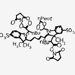 CCCCCC1OCC(N2\C(=C/C=C/C=C/C3=[N+](C(CCCC)C(=O)ON4C(=O)CCC4=O)c4ccc(S(=O)(=O)O)cc4C3(C)C)C(C)(C(CCCC)C(=O)ON3C(=O)CCC3=O)c3cc(S(=O)(=O)O)ccc32)O1